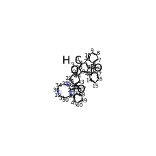 Cc1cc(P(=O)(c2ccccc2)c2ccccc2)cc2c1oc1ccc(P(=O)(C3=C/CC/C=C\C/C=C\3)c3ccccc3)cc12